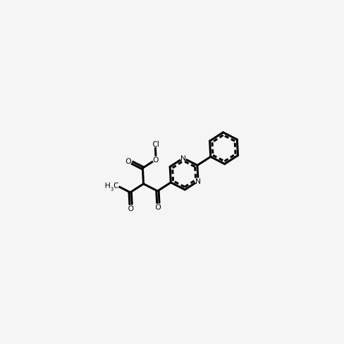 CC(=O)C(C(=O)OCl)C(=O)c1cnc(-c2ccccc2)nc1